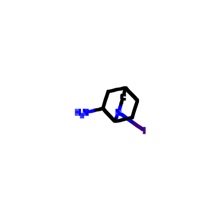 NC1CC2CCC1N(I)C2